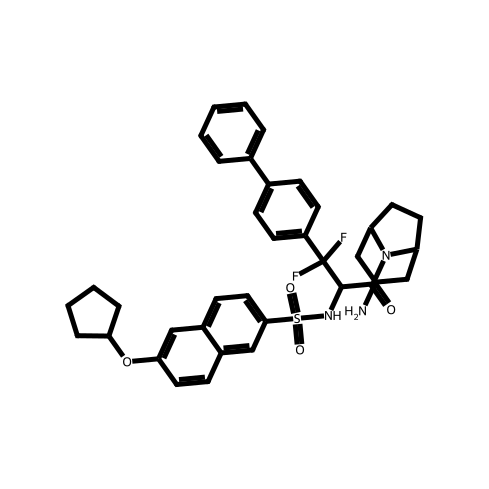 NC1CC2CCC(C1)N2C(=O)C(NS(=O)(=O)c1ccc2cc(OC3CCCC3)ccc2c1)C(F)(F)c1ccc(-c2ccccc2)cc1